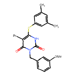 COc1cccc(Cn2c(=O)[nH]c(Sc3cc(C)cc(C)c3)c(C(C)C)c2=O)c1